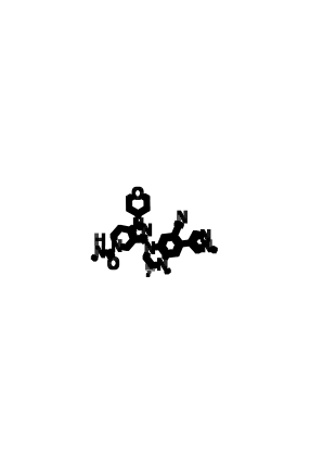 CNC(=O)N1CCc2c(c(N3C[C@@H](C)N(C)c4cc(-c5cnn(C)c5)c(C#N)cc43)nn2C2CCOCC2)C1